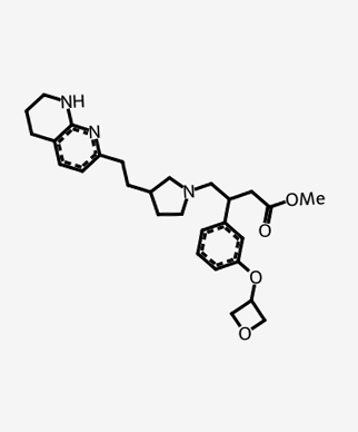 COC(=O)CC(CN1CCC(CCc2ccc3c(n2)NCCC3)C1)c1cccc(OC2COC2)c1